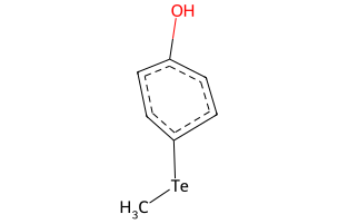 C[Te]c1ccc(O)cc1